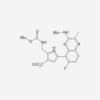 CCOC(=O)c1cc(-c2c(F)ccc3nc(C)c(NC(C)(C)C)nc23)[nH]c1CNC(=O)OC(C)(C)C